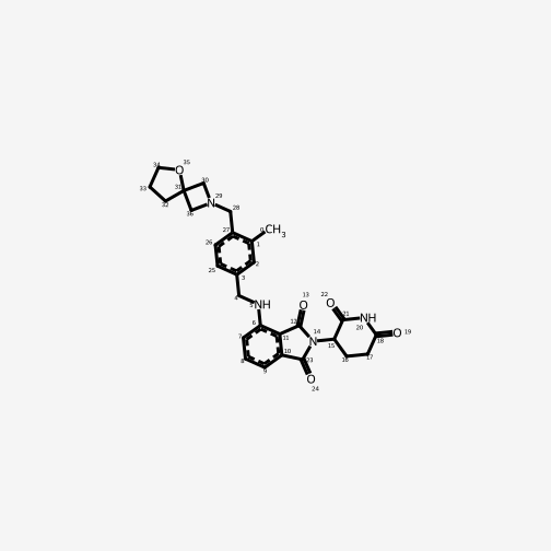 Cc1cc(CNc2cccc3c2C(=O)N(C2CCC(=O)NC2=O)C3=O)ccc1CN1CC2(CCCO2)C1